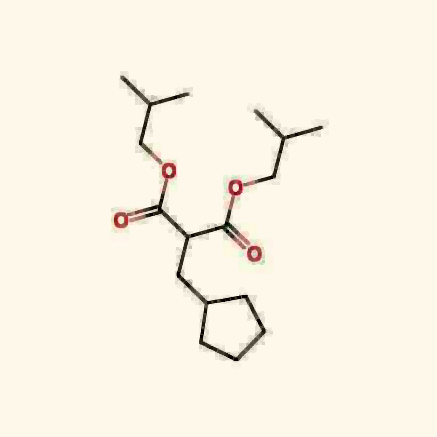 CC(C)COC(=O)C(CC1CCCC1)C(=O)OCC(C)C